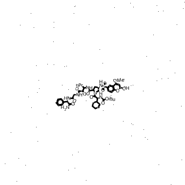 CCCC(NC(=O)C1C[C@@H](NS(=O)(=O)c2ccc3c(c2)C(OC)=CC(O)O3)CN1C(=O)[C@@H](NC(=O)OCC(C)C)C1CCCCC1)C(=O)C(=O)NCC(=O)N[C@H](C(N)=O)c1ccccc1